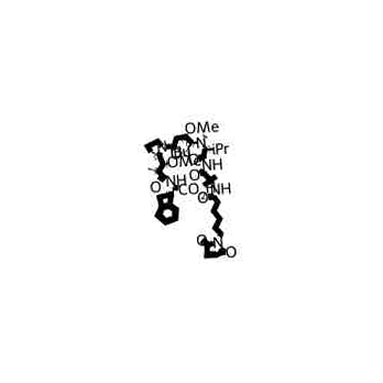 CC[C@H](C)[C@@H]([C@@H](CC(=O)N1CCC[C@H]1[C@H](OC)[C@@H](C)C(=O)NC(C(=O)O)[C@H]1Cc2ccccc21)OC)N(C)[C@H](C(=O)NC(=O)C(C)(C)NC(=O)CCCCCN1C(=O)C=CC1=O)C(C)C